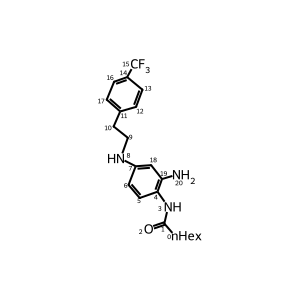 CCCCCCC(=O)Nc1ccc(NCCc2ccc(C(F)(F)F)cc2)cc1N